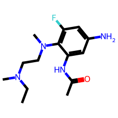 CCN(C)CCN(C)c1c(F)cc(N)cc1NC(C)=O